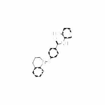 O=C(Nc1ccccc1O)c1ccc(SN2CCCc3ccccc32)cc1